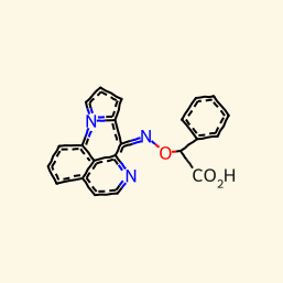 O=C(O)C(ON=c1c2nccc3cccc(c32)n2cccc12)c1ccccc1